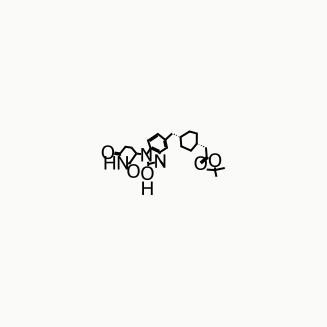 CN1c2cc(C[C@H]3CC[C@@H](CC(=O)OC(C)(C)C)CC3)ccc2N(C2CCC(=O)NC2=O)C1O